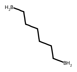 BCCCCCCB